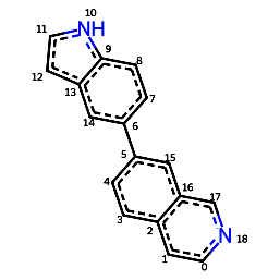 c1cc2ccc(-c3ccc4[nH]ccc4c3)cc2cn1